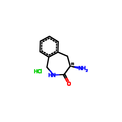 Cl.N[C@@H]1Cc2ccccc2CNC1=O